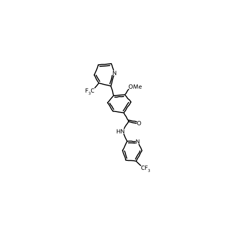 COc1cc(C(=O)Nc2ccc(C(F)(F)F)cn2)ccc1-c1ncccc1C(F)(F)F